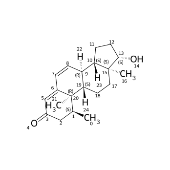 C[C@H]1CC(=O)C=C2C=C[C@H]3[C@@H]4CC[C@H](O)[C@@]4(C)CC[C@@H]3[C@]21C